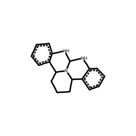 c1ccc2c(c1)NC1Nc3ccccc3C3CCCC2N13